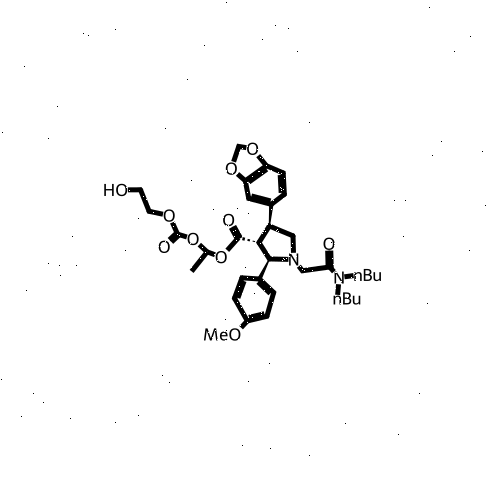 CCCCN(CCCC)C(=O)CN1C[C@H](c2ccc3c(c2)OCO3)[C@@H](C(=O)OC(C)OC(=O)OCCO)[C@@H]1c1ccc(OC)cc1